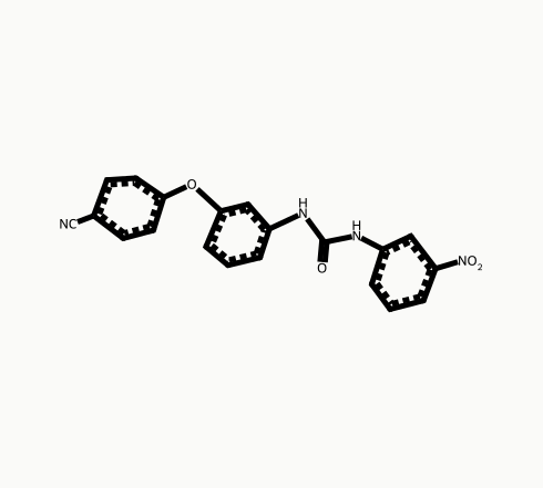 N#Cc1ccc(Oc2cccc(NC(=O)Nc3cccc([N+](=O)[O-])c3)c2)cc1